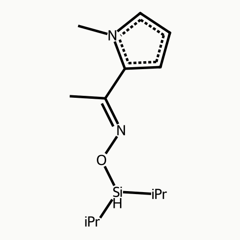 CC(=NO[SiH](C(C)C)C(C)C)c1cccn1C